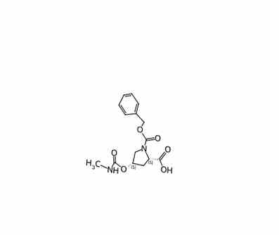 CNC(=O)O[C@H]1C[C@@H](C(=O)O)N(C(=O)OCc2ccccc2)C1